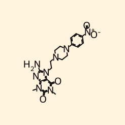 Cn1c(=O)c2c(nc(N)n2CCN2CCN(c3ccc([N+](=O)[O-])cc3)CC2)n(C)c1=O